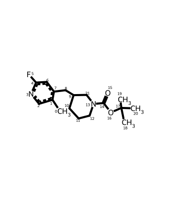 Cc1cnc(F)cc1CC1CCCN(C(=O)OC(C)(C)C)C1